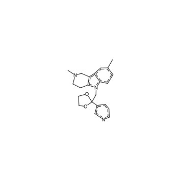 Cc1ccc2c(c1)c1c(n2CC2(c3cccnc3)OCCO2)CCN(C)C1